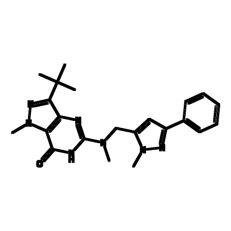 CN(Cc1cc(-c2ccccc2)nn1C)c1nc2c(C(C)(C)C)nn(C)c2c(=O)[nH]1